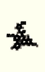 COc1cccc(-c2cc(F)ccc2[C@H]2Cc3nc(N)nc(C)c3C(=NOC(=O)CN3CC[C@H](O)C3)N2)n1